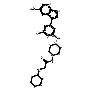 COc1cnc2[nH]cc(-c3cc(Cl)nc(N[C@H]4CC[C@H](NC(=O)CNC5CCCCC5)CC4)c3)c2c1